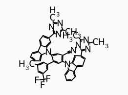 Cc1cc(-c2cc(-n3c4ccccc4c4ccc(-c5nc(C)nc(C)n5)cc43)c(C#N)cc2-n2c3ccccc3c3ccc(-c4nc(C)nc(C)n4)cc32)cc(C(F)(F)F)c1